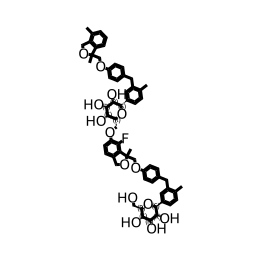 Cc1ccc([C@@H]2O[C@H](CO)[C@@H](O)[C@H](O)[C@H]2O)cc1Cc1ccc(OCC2(C)OCc3ccc(OC[C@H]4O[C@@H](c5ccc(C)c(Cc6ccc(OCC7(C)OCc8c(C)cccc87)cc6)c5)[C@H](O)[C@@H](O)[C@@H]4O)c(F)c32)cc1